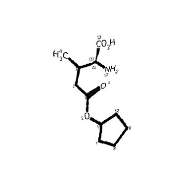 CC(CC(=O)OC1CCCC1)[C@H](N)C(=O)O